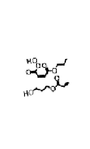 C=CC(=O)OCCCO.CCCOC(=O)/C=C\C(=O)OO